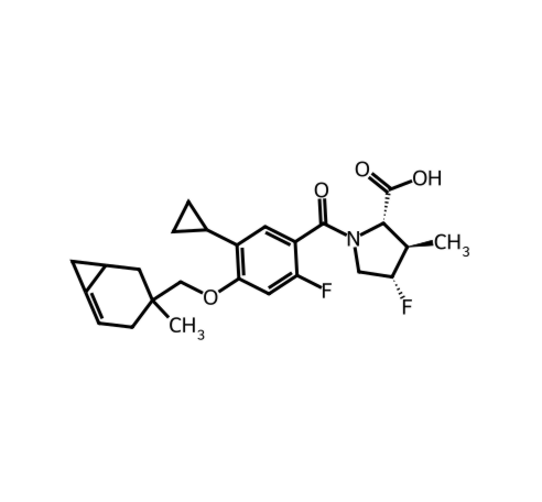 C[C@H]1[C@H](F)CN(C(=O)c2cc(C3CC3)c(OCC3(C)CC=C4CC4C3)cc2F)[C@@H]1C(=O)O